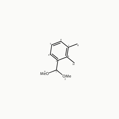 CO[C](OC)c1cccc(C)c1C